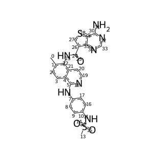 Cc1ccc2c(Nc3ccc(NS(C)(=O)=O)cc3)nccc2c1NC(=O)c1csc2c(N)ncnc12